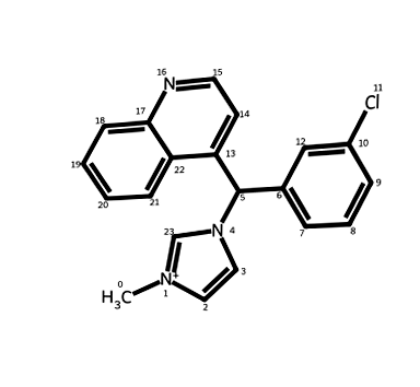 C[n+]1ccn(C(c2cccc(Cl)c2)c2ccnc3ccccc23)c1